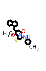 COc1c(Cc2cccc3ccccc23)cc(=O)n2c1C(=S)C[C@@H]2Nc1ccc(C)cc1